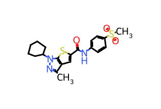 Cc1nn(C2CCCCC2)c2sc(C(=O)Nc3ccc(S(C)(=O)=O)cc3)cc12